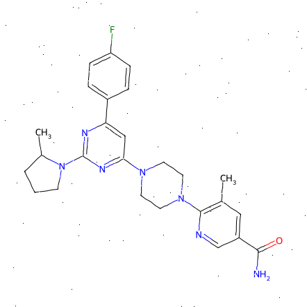 Cc1cc(C(N)=O)cnc1N1CCN(c2cc(-c3ccc(F)cc3)nc(N3CCCC3C)n2)CC1